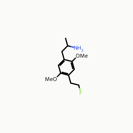 COc1cc(CC(C)N)c(OC)cc1CCF